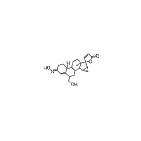 C[C@]12CCC3C(CC(CO)C4=C/C(=N/O)CC[C@@H]43)C1C1CC1[C@@]21C=CC(=O)O1